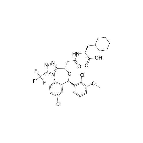 COc1cccc([C@@H]2O[C@@H](CC(=O)N[C@@H](CC3CCCCC3)C(=O)O)c3nnc(C(F)(F)F)n3-c3ccc(Cl)cc32)c1Cl